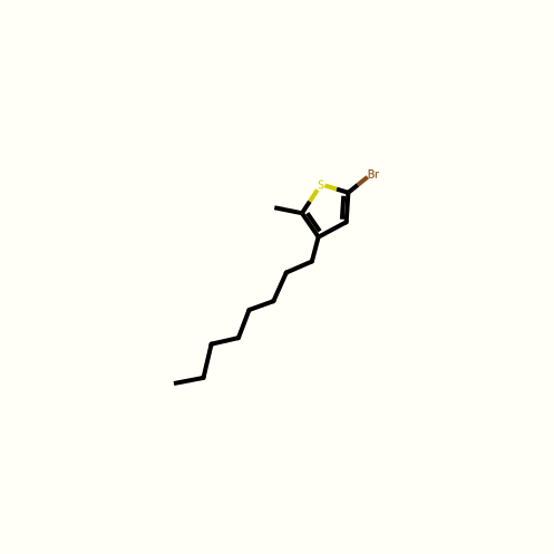 CCCCCCCCc1cc(Br)sc1C